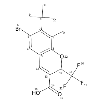 Cc1c2c(cc(Br)c1C(C)(C)C)C=C(C(=O)O)C(C(F)(F)F)O2